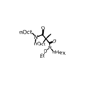 CCCCCCCCN(CCCCCCCC)C(=O)C(C)(C)C(=O)N(CCCCCC)OCC